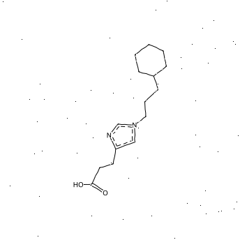 O=C(O)CCc1cn(CCCC2CCCCC2)cn1